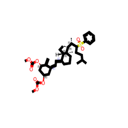 C=C1/C(=C\C=C2/CCC[C@]3(C)[C@@H]([C@H](C)C(CCC(C)C)S(=O)(=O)c4ccccc4)CC[C@@H]23)C[C@@H](OC(=O)OC)C[C@@H]1OC(=O)OC